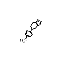 Cc1ccc(N2CCc3sccc3C2)cc1